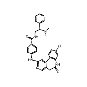 CN(C)C(CNC(=O)c1ccc(Nc2ncc3c(n2)-c2ccc(Cl)cc2NC(=O)C3)cc1)c1ccccc1